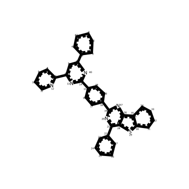 c1ccc(-c2cc(-c3ccccn3)nc(-c3ccc(-c4nc(-c5ccccc5)c5sc6ccccc6c5n4)cc3)n2)cc1